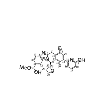 COC(O)c1ccc2nc(Cc3cc(F)c(-c4cccc(O)n4)cc3F)n(C[C@@H]3CCO3)c2c1